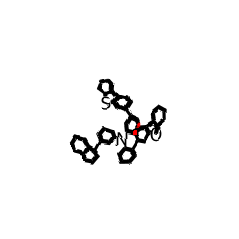 c1cc(-c2ccc3c(c2)sc2ccccc23)cc(N(c2cccc(-c3cccc4ccccc34)c2)c2ccccc2-c2ccc3c(c2)oc2ccccc23)c1